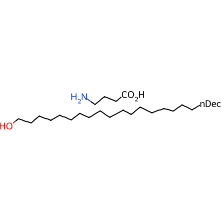 CCCCCCCCCCCCCCCCCCCCCCCCCCCCO.NCCCC(=O)O